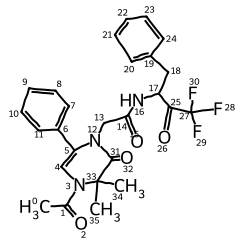 CC(=O)N1C=C(c2ccccc2)N(CC(=O)NC(Cc2ccccc2)C(=O)C(F)(F)F)C(=O)C1(C)C